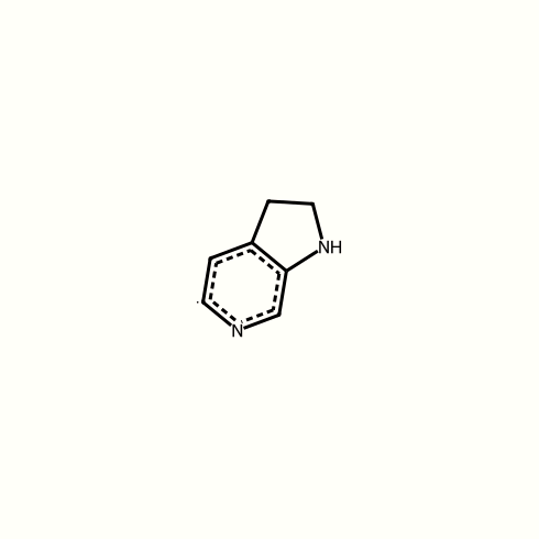 [c]1cc2c(cn1)NCC2